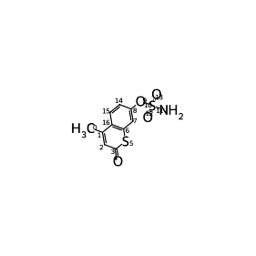 Cc1cc(=O)sc2cc(OS(N)(=O)=O)ccc12